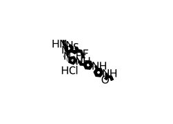 C=CC(=O)Nc1cccc(Nc2ccc(CN[C@H]3CC[C@@H](N(C)c4nc(NC)nc5sc(CC(F)(F)F)cc45)C3)cc2)c1.Cl